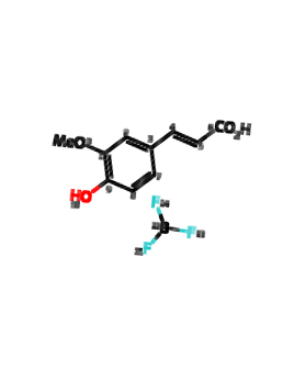 COc1cc(/C=C/C(=O)O)ccc1O.FB(F)F